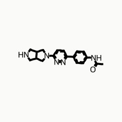 CC(=O)Nc1ccc(-c2ccc(N3CC4CNCC4C3)nn2)cc1